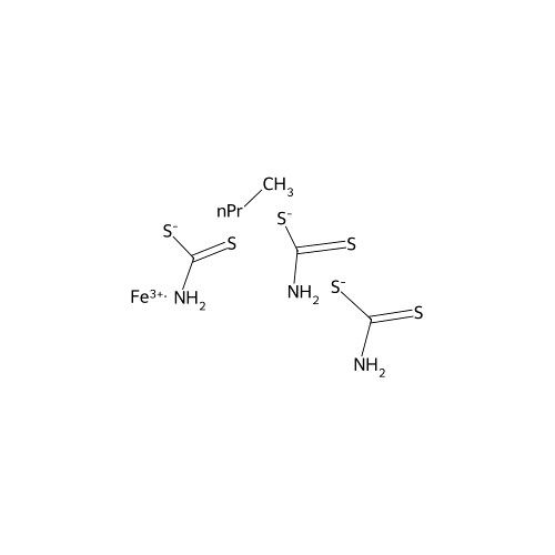 CCCC.NC(=S)[S-].NC(=S)[S-].NC(=S)[S-].[Fe+3]